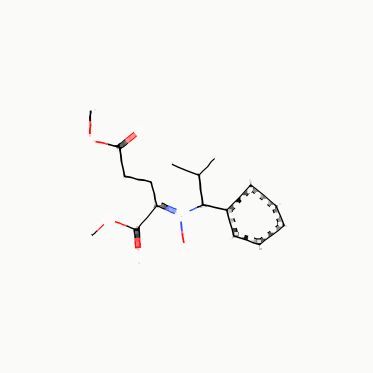 COC(=O)CC/C(C(=O)OC)=[N+](/[O-])C(c1ccccc1)C(C)C